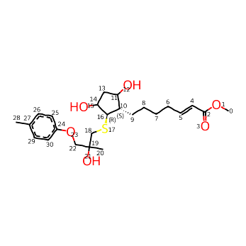 COC(=O)C=CCCCC[C@H]1C(O)CC(O)[C@@H]1SCC(C)(O)COc1ccc(C)cc1